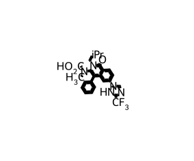 CC(C)Cn1c(N(C)C(=O)O)c(-c2ccccc2)c2cc(N3C=NC(C(F)(F)F)N3)ccc2c1=O